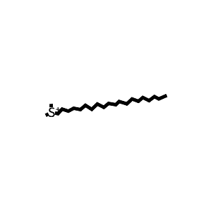 CCCCCCCCCCCCCCCCCCCC[S+](C)C